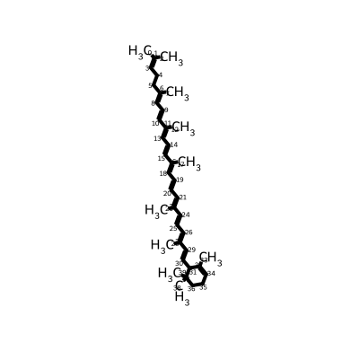 CC(C)=CCC/C(C)=C/C=C/C(C)=C/C=C/C(C)=C/C=C/C=C(C)/C=C/C=C(C)/C=C/C1C(C)=CCCC1(C)C